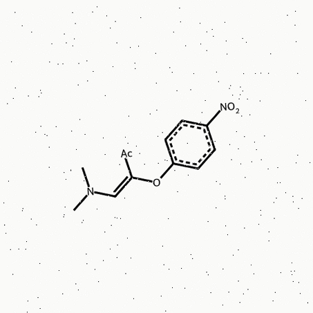 CC(=O)/C(=C\N(C)C)Oc1ccc([N+](=O)[O-])cc1